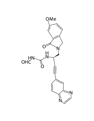 COc1ccc2c(c1)C(=O)N(C[C@@H](C#Cc1ccc3nccnc3c1)NC(=O)NC=O)C2